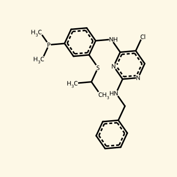 CC(C)Sc1cc(P(C)C)ccc1Nc1nc(NCc2ccccc2)ncc1Cl